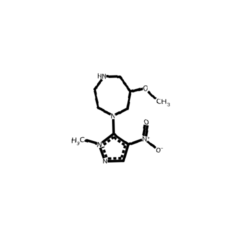 COC1CNCCN(c2c([N+](=O)[O-])cnn2C)C1